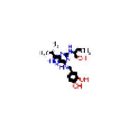 CCC(CO)Nc1nc(NCc2ccc(O)c(O)c2)c2n[nH]c(C(C)C)c2n1